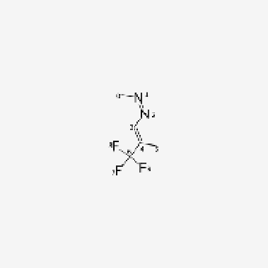 C/N=N\C=C(/C)C(F)(F)F